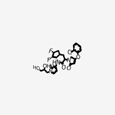 O=C(Nc1ccn(CC(O)CO)n1)C(CC1C[C@@H](F)[C@@H](F)C1)N1CC(Oc2ccccc2Cl)=CC1=O